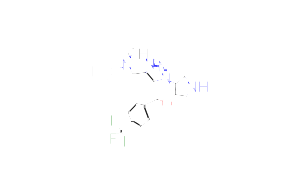 CN(C)Cc1cn(C2CNCC2OCc2ccc(C(F)(F)F)cc2)nn1